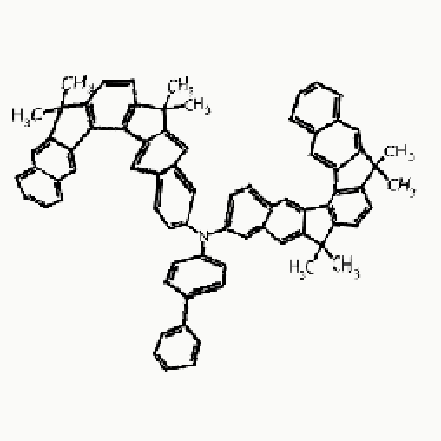 CC1(C)c2cc3ccccc3cc2-c2c1ccc1c2-c2cc3ccc(N(c4ccc(-c5ccccc5)cc4)c4ccc5cc6c(cc5c4)C(C)(C)c4ccc5c(c4-6)-c4cc6ccccc6cc4C5(C)C)cc3cc2C1(C)C